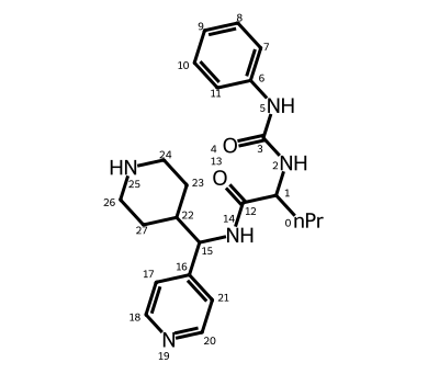 CCCC(NC(=O)Nc1ccccc1)C(=O)NC(c1ccncc1)C1CCNCC1